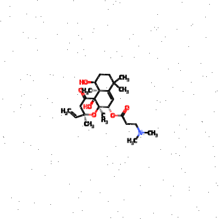 C=C[C@@]1(C)CC(=O)[C@@]2(O)[C@](C)(O1)[C@@H](OC(=O)CCN(C)C)C=C1C(C)(C)CC[C@H](O)[C@@]12C